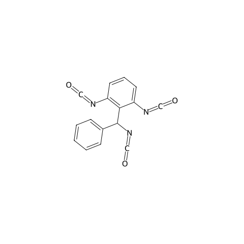 O=C=Nc1cccc(N=C=O)c1C(N=C=O)c1ccccc1